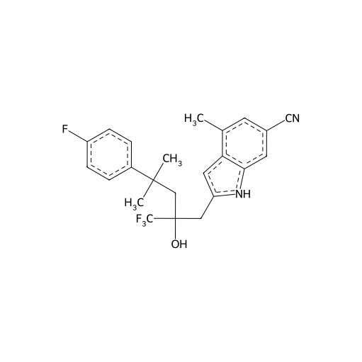 Cc1cc(C#N)cc2[nH]c(CC(O)(CC(C)(C)c3ccc(F)cc3)C(F)(F)F)cc12